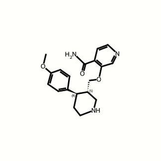 COc1ccc([C@@H]2CCNC[C@H]2COc2cnccc2C(N)=O)cc1